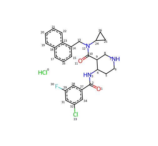 Cl.O=C(NC1CCNCC1C(=O)N(Cc1cccc2ccccc12)C1CC1)c1cc(F)cc(Cl)c1